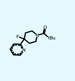 CC(C)(C)C(=O)N1CCC(F)(c2ccccn2)CC1